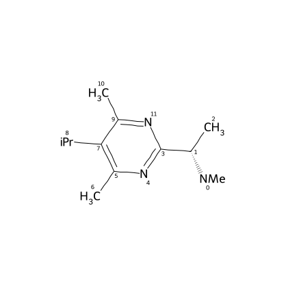 CN[C@@H](C)c1nc(C)c(C(C)C)c(C)n1